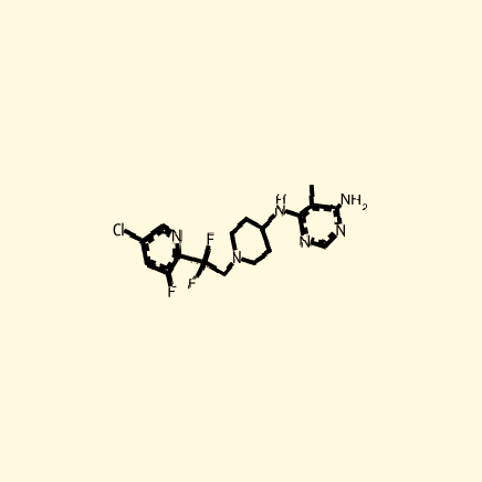 Cc1c(N)ncnc1NC1CCN(CC(F)(F)c2ncc(Cl)cc2F)CC1